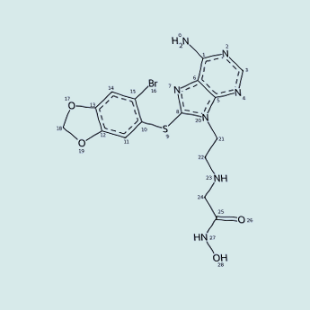 Nc1ncnc2c1nc(Sc1cc3c(cc1Br)OCO3)n2CCNCC(=O)NO